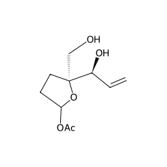 C=C[C@H](O)[C@]1(CO)CCC(OC(C)=O)O1